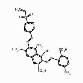 C=CS(=O)(=O)c1ccc(N=Nc2c(S(=O)(=O)O)cc3cc(S(=O)(=O)O)c(N=Nc4cc(N)ccc4S(=O)(=O)O)c(O)c3c2N)cc1